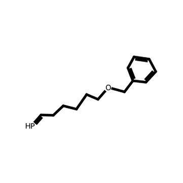 P=CCCCCCOCc1ccccc1